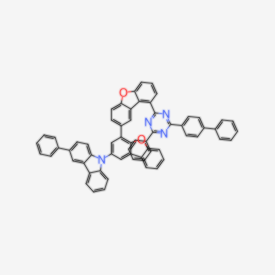 c1ccc(-c2ccc(-c3nc(-c4ccccc4)nc(-c4cccc5oc6ccc(-c7cc(-n8c9ccccc9c9cc(-c%10ccccc%10)ccc98)cc8c7oc7ccccc78)cc6c45)n3)cc2)cc1